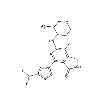 N[C@H]1COCCC1Nc1nc(-c2cnn(C(F)F)c2)c2c(c1F)CNC2=O